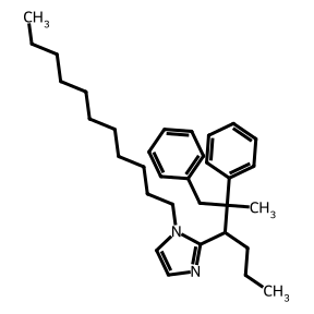 CCCCCCCCCCCn1ccnc1C(CCC)C(C)(Cc1ccccc1)c1ccccc1